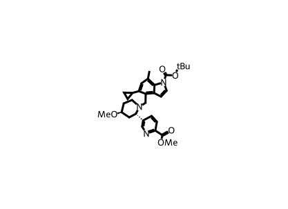 COC(=O)c1ccc([C@@H]2C[C@@H](OC)CCN2Cc2c(C3CC3)cc(C)c3c2ccn3C(=O)OC(C)(C)C)cn1